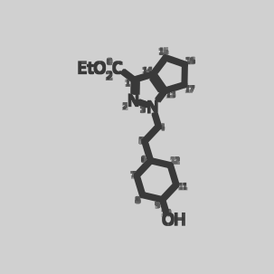 CCOC(=O)c1nn(CCC2CCC(O)CC2)c2c1CCC2